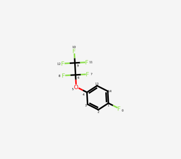 Fc1ccc(OC(F)(F)C(F)(F)F)cc1